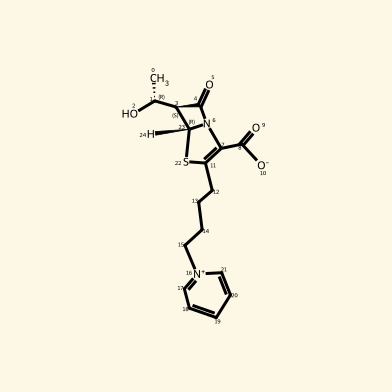 C[C@@H](O)[C@H]1C(=O)N2C(C(=O)[O-])=C(CCCC[n+]3ccccc3)S[C@H]12